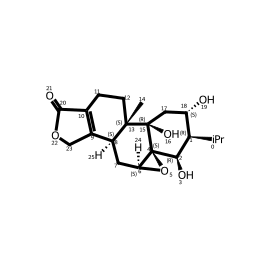 CC(C)[C@H]1[C@@H](O)[C@]23O[C@H]2C[C@H]2C4=C(CC[C@]2(C)[C@]3(O)C[C@@H]1O)C(=O)OC4